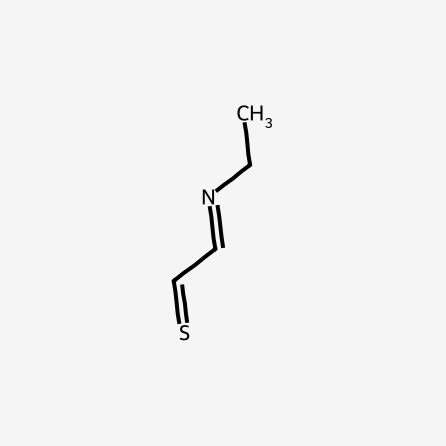 CCN=CC=S